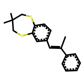 C/C(=C\c1ccc2c(c1)SCC(C)(C)CS2)c1ccccc1